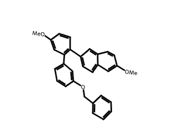 COc1ccc(-c2ccc3cc(OC)ccc3c2)c(-c2cccc(OCc3ccccc3)c2)c1